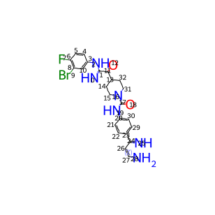 N=C(Nc1ccc(F)c(Br)c1)C(=O)C1CCN(C(=O)Nc2ccc(C(=N)/C=C\N)cc2)CC1